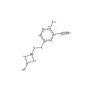 N#Cc1cc(CCN2CC(F)C2)ccc1F